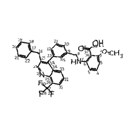 COc1cccc(NCc2cccc(-c3c(Cc4ccccc4)cnc4c(C(F)(F)F)cccc34)c2)c1C(=O)O